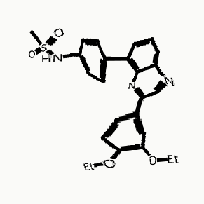 CCOc1ccc(-c2cnc3cccc(-c4ccc(NS(C)(=O)=O)cc4)c3n2)cc1OCC